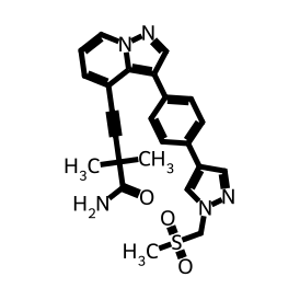 CC(C)(C#Cc1cccn2ncc(-c3ccc(-c4cnn(CS(C)(=O)=O)c4)cc3)c12)C(N)=O